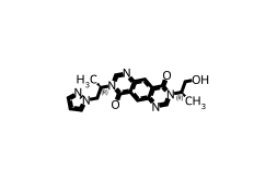 C[C@H](CO)n1cnc2cc3c(=O)n([C@H](C)Cn4cccn4)cnc3cc2c1=O